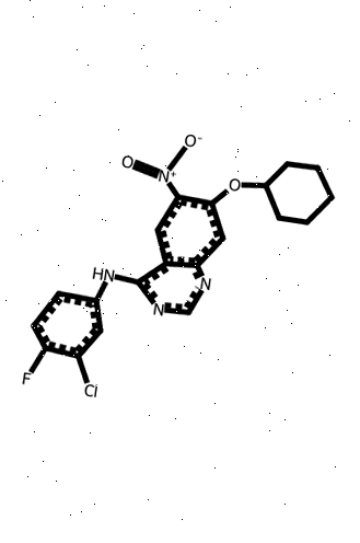 O=[N+]([O-])c1cc2c(Nc3ccc(F)c(Cl)c3)ncnc2cc1OC1CCCCC1